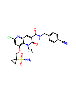 Cn1c(=O)c(C(=O)NCc2ccc(C#N)cc2)cc2nc(Cl)cc(OCC3(S(N)(=O)=O)CC3)c21